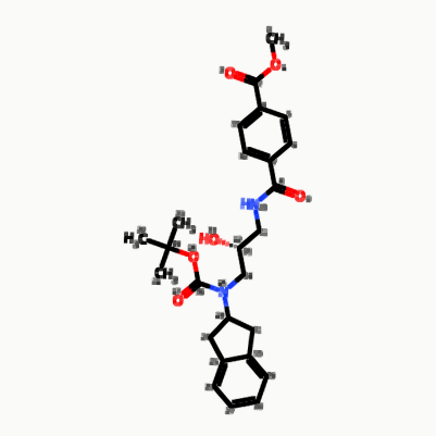 COC(=O)c1ccc(C(=O)NC[C@@H](O)CN(C(=O)OC(C)(C)C)C2Cc3ccccc3C2)cc1